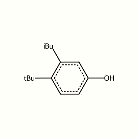 CCC(C)c1cc(O)[c]cc1C(C)(C)C